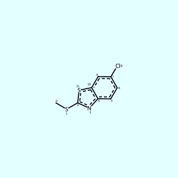 CSc1nc2ccc(Cl)cc2s1